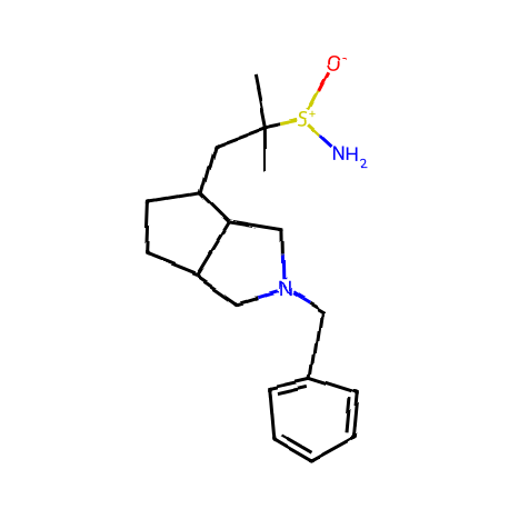 CC(C)(CC1CCC2CN(Cc3ccccc3)CC21)[S+](N)[O-]